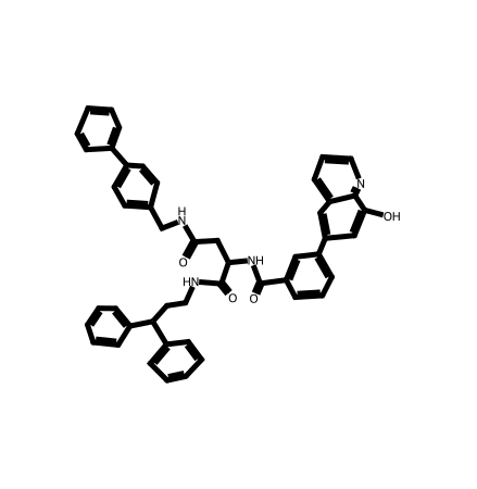 O=C(CC(NC(=O)c1cccc(-c2cc(O)c3ncccc3c2)c1)C(=O)NCCC(c1ccccc1)c1ccccc1)NCc1ccc(-c2ccccc2)cc1